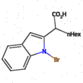 CCCCCCC(C(=O)O)c1cc2ccccc2n1Br